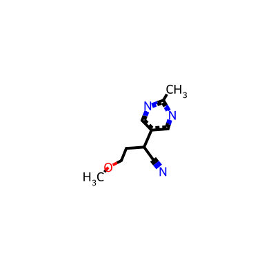 COCCC(C#N)c1cnc(C)nc1